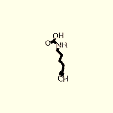 C#CCCCCNC(=O)O